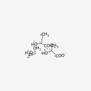 CC(O)C(=O)[O-].CC(O)C(=O)[O-].O.O.[Zn+2]